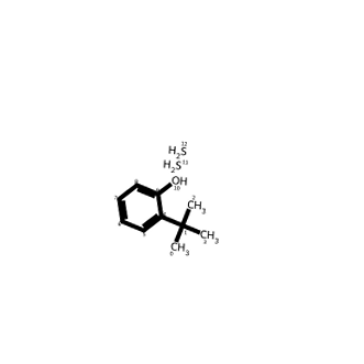 CC(C)(C)c1ccccc1O.S.S